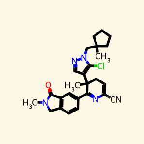 CN1Cc2ccc(C3=NC(C#N)=CCC3(C)c3cnn(CC4(C)CCCC4)c3Cl)cc2C1=O